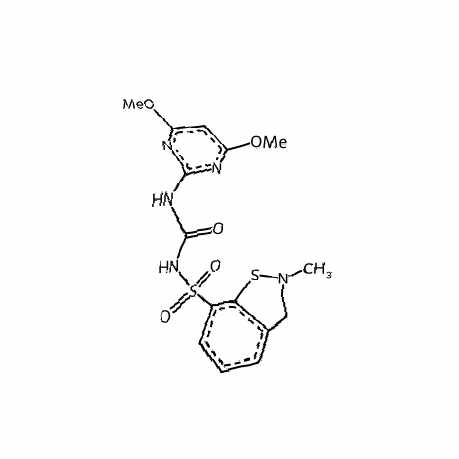 COc1cc(OC)nc(NC(=O)NS(=O)(=O)c2cccc3c2SN(C)C3)n1